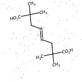 CC(C)(C/N=N/CC(C)(C)C(=O)O)C(=O)O